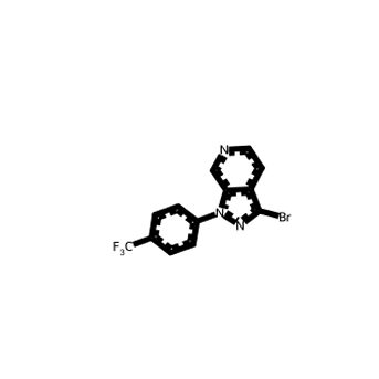 FC(F)(F)c1ccc(-n2nc(Br)c3ccncc32)cc1